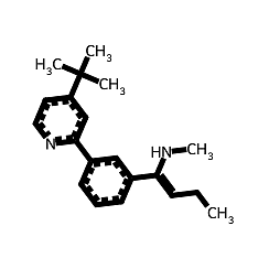 CC/C=C(\NC)c1cccc(-c2cc(C(C)(C)C)ccn2)c1